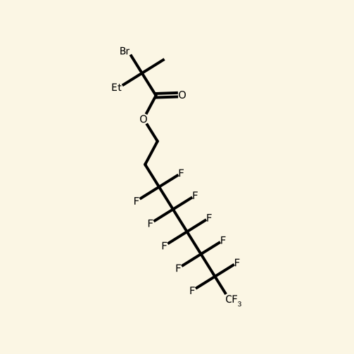 CCC(C)(Br)C(=O)OCCC(F)(F)C(F)(F)C(F)(F)C(F)(F)C(F)(F)C(F)(F)F